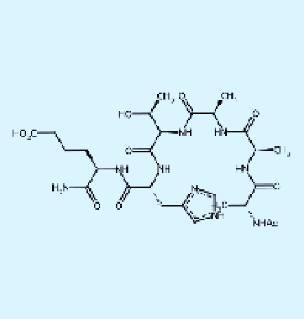 CC(=O)N[C@H](C)C(=O)N[C@H](C)C(=O)N[C@H](C)C(=O)N[C@@H](C(=O)N[C@H](Cc1c[nH]cn1)C(=O)N[C@H](CCCC(=O)O)C(N)=O)[C@H](C)O